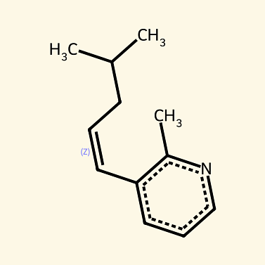 Cc1ncccc1/C=C\CC(C)C